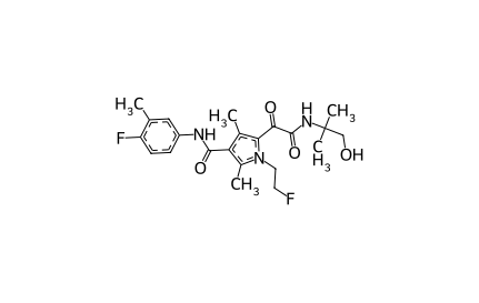 Cc1cc(NC(=O)c2c(C)c(C(=O)C(=O)NC(C)(C)CO)n(CCF)c2C)ccc1F